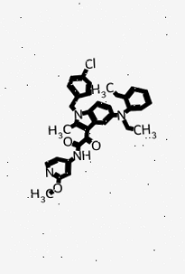 CCc1ccccc1N(CC)c1ccc2c(c1)c(C(=O)C(=O)Nc1ccnc(OC)c1)c(C)n2Cc1ccc(Cl)cc1